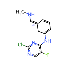 CN/C=C1\C=CC=C(Nc2nc(Cl)ncc2F)C1